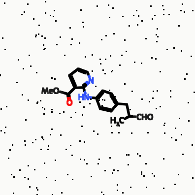 COC(=O)c1cccnc1Nc1ccc(CC(C)C=O)cc1